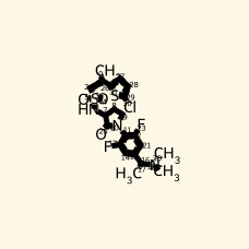 CC(=CS(=O)(=O)NC1CCN(c2c(F)cc(C(C)N(C)C)cc2F)C1=O)c1ccc(Cl)s1